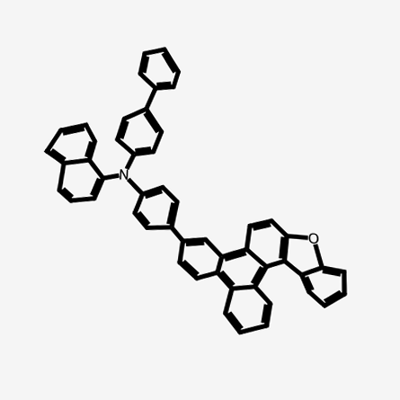 c1ccc(-c2ccc(N(c3ccc(-c4ccc5c6ccccc6c6c(ccc7oc8ccccc8c76)c5c4)cc3)c3cccc4ccccc34)cc2)cc1